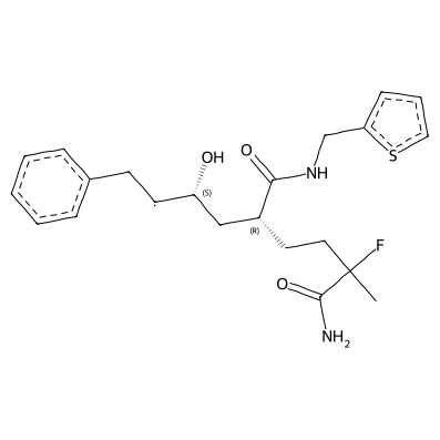 CC(F)(CC[C@H](C[C@@H](O)[CH]Cc1ccccc1)C(=O)NCc1cccs1)C(N)=O